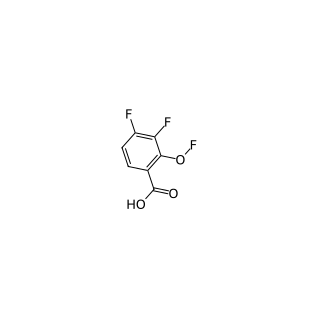 O=C(O)c1ccc(F)c(F)c1OF